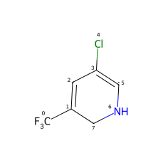 FC(F)(F)C1=CC(Cl)=[C]NC1